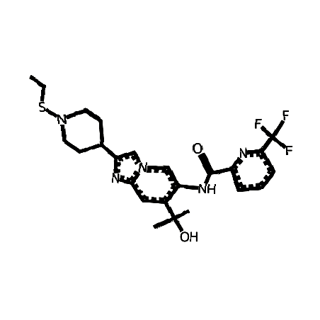 CCSN1CCC(c2cn3cc(NC(=O)c4cccc(C(F)(F)F)n4)c(C(C)(C)O)cc3n2)CC1